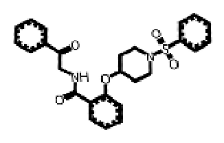 O=C(CNC(=O)c1ccccc1OC1CCN(S(=O)(=O)c2ccccc2)CC1)c1ccccc1